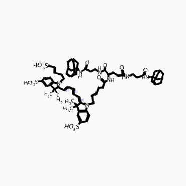 CC1(C)C(/C=C/C=C/C=C2/N(CCCCCC(=O)NC(CCC(=O)NCCC(=O)NC34CC5CC(CC(C5)C3)C4)C(=O)NCCC(=O)NC34CC5CC(CC(C5)C3)C4)c3ccc(S(=O)(=O)O)cc3C2(C)C)=[N+](CCCCS(=O)(=O)O)c2ccc(S(=O)(=O)O)cc21